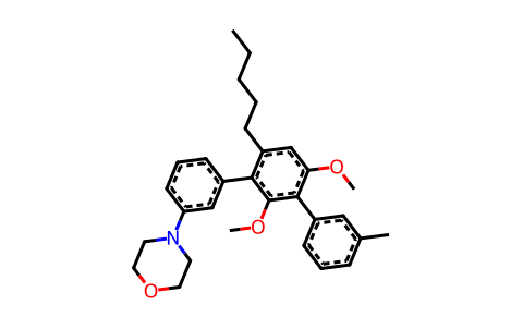 CCCCCc1cc(OC)c(-c2cccc(C)c2)c(OC)c1-c1cccc(N2CCOCC2)c1